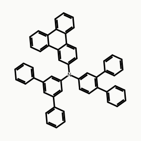 c1ccc(-c2cc(-c3ccccc3)cc(N(c3ccc(-c4ccccc4)c(-c4ccccc4)c3)c3ccc4c5ccccc5c5ccccc5c4c3)c2)cc1